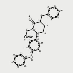 COCN1C(=O)C(Cc2ccccc2)CCN1c1ccc(Oc2ccccc2)cc1